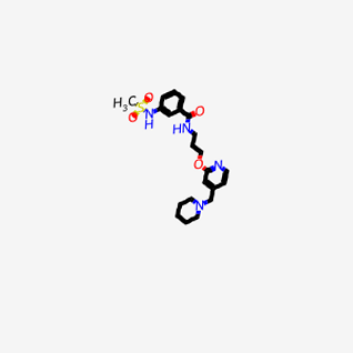 CS(=O)(=O)Nc1cccc(C(=O)NCCCOc2cc(CN3CCCCC3)ccn2)c1